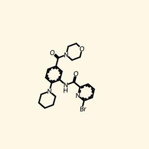 O=C(Nc1cc(C(=O)N2CCOCC2)ccc1N1CCCCC1)c1cccc(Br)n1